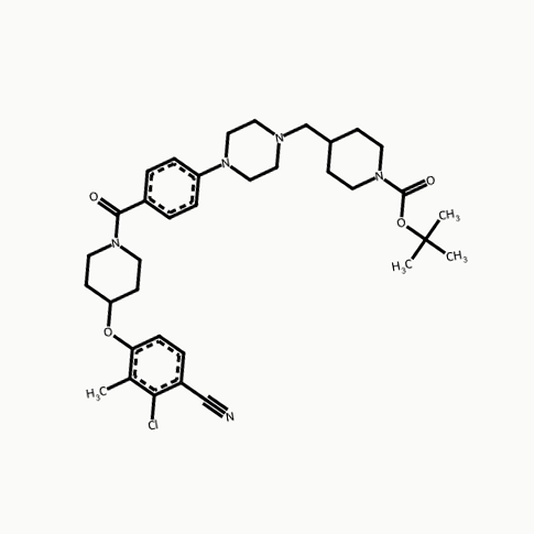 Cc1c(OC2CCN(C(=O)c3ccc(N4CCN(CC5CCN(C(=O)OC(C)(C)C)CC5)CC4)cc3)CC2)ccc(C#N)c1Cl